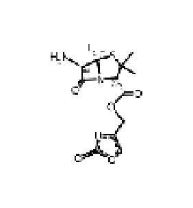 CC1(C)S[C@@H]2[C@H](N)C(=O)N2[C@H]1C(=O)OCc1coc(=O)o1